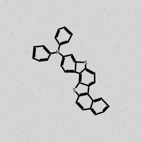 c1ccc(N(c2ccccc2)c2ccc3c(c2)sc2ccc4c(sc5ccc6ccccc6c54)c23)cc1